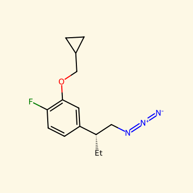 CC[C@@H](CN=[N+]=[N-])c1ccc(F)c(OCC2CC2)c1